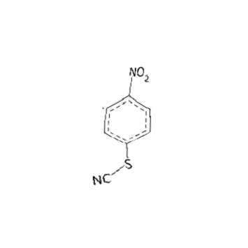 N#CSc1c[c]c([N+](=O)[O-])cc1